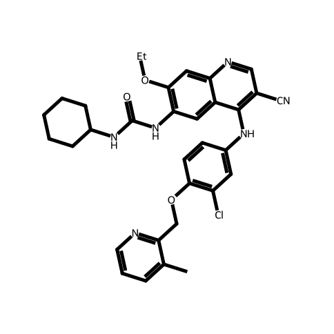 CCOc1cc2ncc(C#N)c(Nc3ccc(OCc4ncccc4C)c(Cl)c3)c2cc1NC(=O)NC1CCCCC1